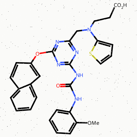 COc1ccccc1NC(=O)Nc1nc(CN(CCC(=O)O)c2cccs2)nc(Oc2ccc3ccccc3c2)n1